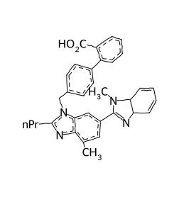 CCCc1nc2c(C)cc(C3=NC4C=CC=CC4N3C)cc2n1Cc1ccc(-c2ccccc2C(=O)O)cc1